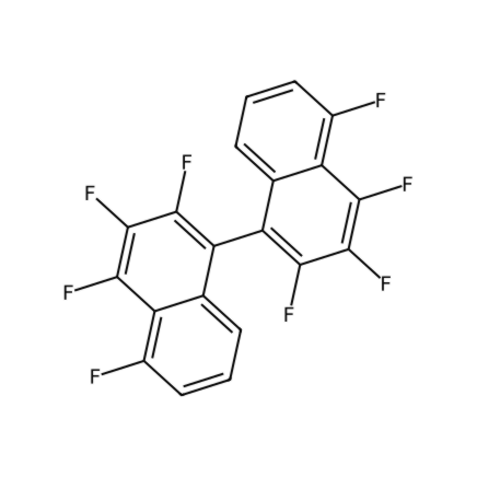 Fc1c(F)c(F)c2c(F)cccc2c1-c1c(F)c(F)c(F)c2c(F)cccc12